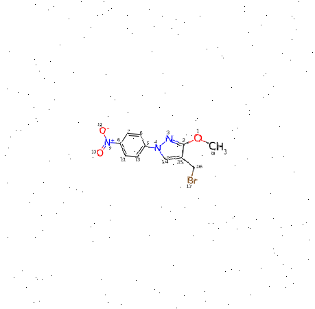 COc1nn(-c2ccc([N+](=O)[O-])cc2)cc1CBr